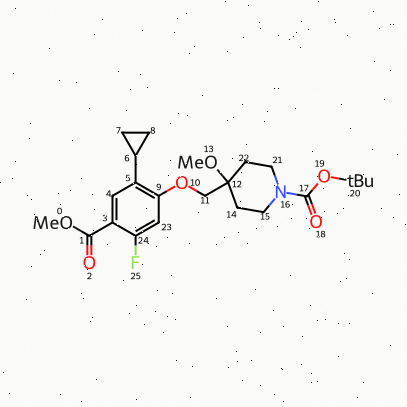 COC(=O)c1cc(C2CC2)c(OCC2(OC)CCN(C(=O)OC(C)(C)C)CC2)cc1F